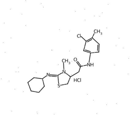 Cc1ccc(NC(=O)CC2CS/C(=N\C3CCCCC3)N2C)cc1Cl.Cl